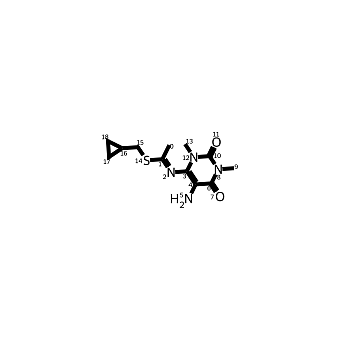 C/C(=N\c1c(N)c(=O)n(C)c(=O)n1C)SCC1CC1